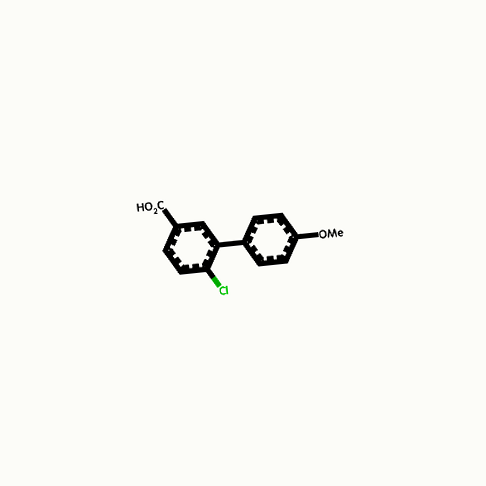 COc1ccc(-c2cc(C(=O)O)ccc2Cl)cc1